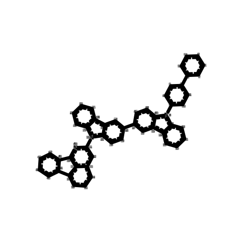 c1ccc(-c2ccc(-n3c4ccccc4c4cc(-c5ccc6c(c5)c5ccccc5n6-c5cc6cccc7c6c(n5)-c5ccccc5-7)ccc43)cc2)cc1